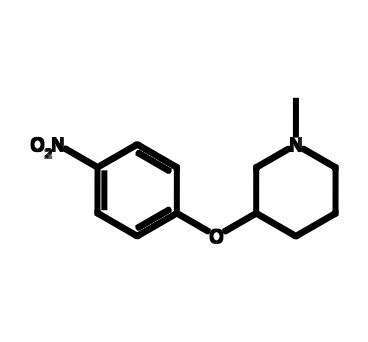 CN1CCCC(Oc2ccc([N+](=O)[O-])cc2)C1